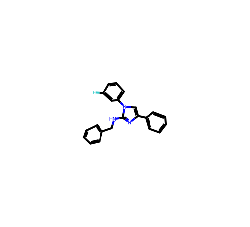 Fc1cccc(-n2cc(-c3ccccc3)nc2NCc2ccccc2)c1